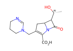 C[C@@H](O)C1C(=O)N2C(C(=O)O)=C(CN3C=NCCC3)CC12